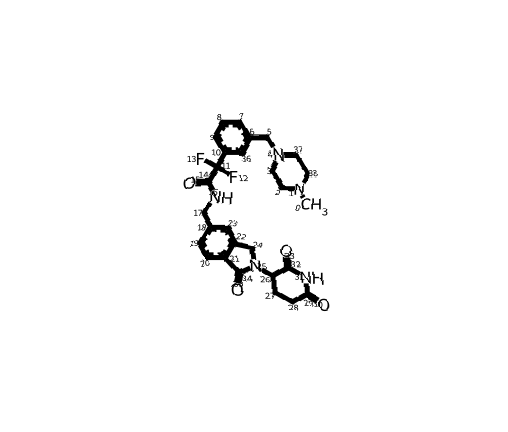 CN1CCN(Cc2cccc(C(F)(F)C(=O)NCc3ccc4c(c3)CN(C3CCC(=O)NC3=O)C4=O)c2)CC1